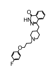 O=c1[nH]nc(CC2CCN(CCCOc3ccc(F)cc3)CC2)c2ccccc12